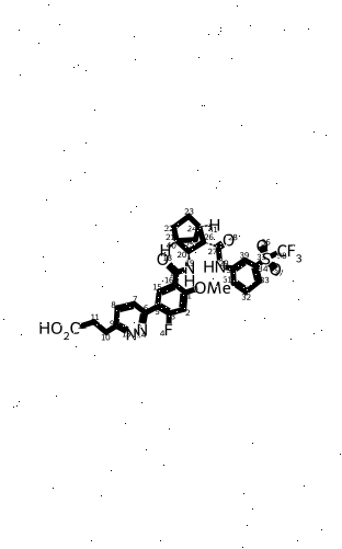 COc1cc(F)c(-c2ccc(CCC(=O)O)nn2)cc1C(=O)N[C@@H]1[C@H]2CC[C@H](C2)[C@@H]1C(=O)Nc1cccc(S(=O)(=O)C(F)(F)F)c1